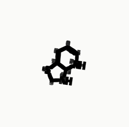 C1=CNC2NCSC2=C1